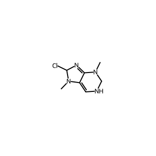 CN1CNC=C2C1=NC(Cl)N2C